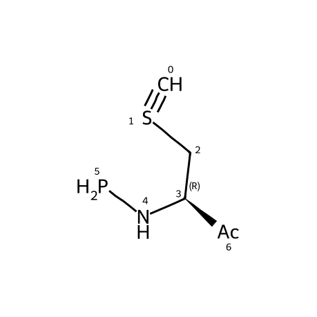 C#SC[C@H](NP)C(C)=O